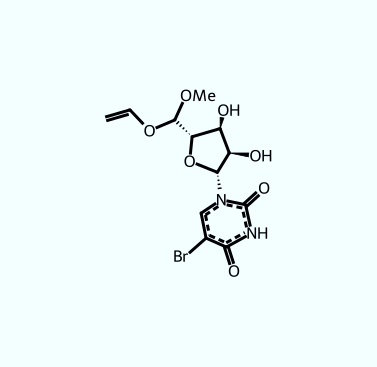 C=COC(OC)[C@H]1O[C@@H](n2cc(Br)c(=O)[nH]c2=O)[C@H](O)[C@@H]1O